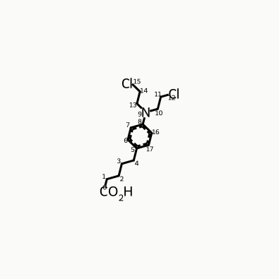 O=C(O)CCCCc1ccc(N(CCCl)CCCl)cc1